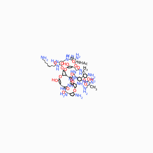 CC(=O)NC1C2OC3c4ccc(c(O)c4)Oc4cc5cc(c4OC4OC(CNC[C@@H](O2)C(N)[C@@H]1N)CC(N)[C@H]4NC(=O)CC/C=C\CCCCN)Oc1ccc(cc1O)C[C@H]1NC(=O)C(N)c2ccc(N)c(c2)Oc2cc(N)cc(c2)[C@H](NC1=O)C(=O)N[C@H]5C(=O)NC1C(=O)NC3C(=O)NC(C)c2cc(N)cc(O[C@H]3OC(CN)[C@@H](C)C(N)C3O)c2-c2cc1ccc2N